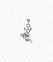 N#Cc1ccc(-c2c(F)cc3c(c2F)CN2C(=O)O[C@@H](CN)[C@@H]2O3)cc1